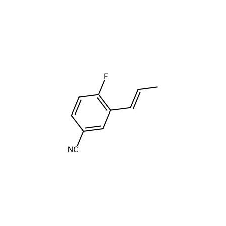 C/C=C/c1cc(C#N)ccc1F